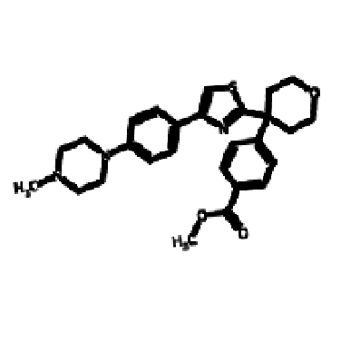 COC(=O)c1ccc(C2(c3nc(-c4ccc(N5CCN(C)CC5)cc4)cs3)CCOCC2)cc1